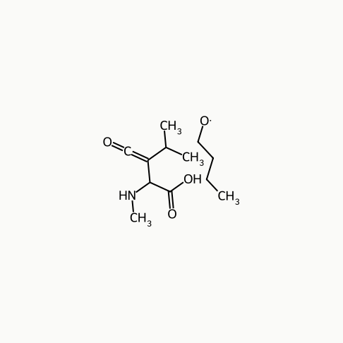 CCCC[O].CNC(C(=O)O)C(=C=O)C(C)C